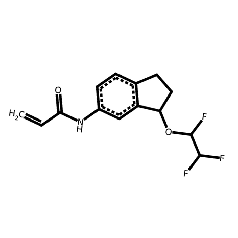 C=CC(=O)Nc1ccc2c(c1)C(OC(F)C(F)F)CC2